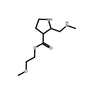 CNCC1NCCC1C(=O)OCCOC